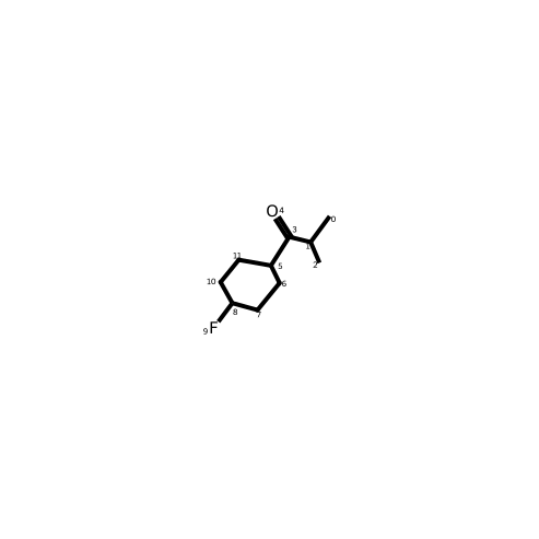 CC(C)C(=O)C1CCC(F)CC1